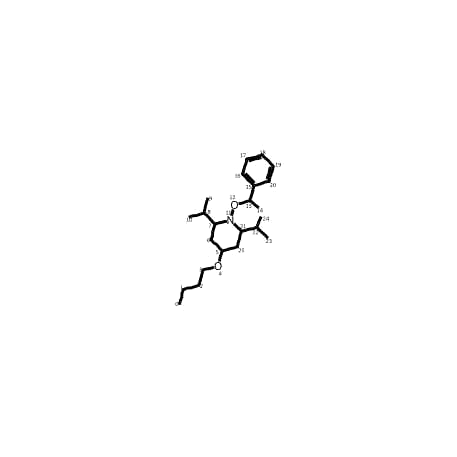 CCCCOC1CC(C(C)C)N(OC(C)c2ccccc2)C(C(C)C)C1